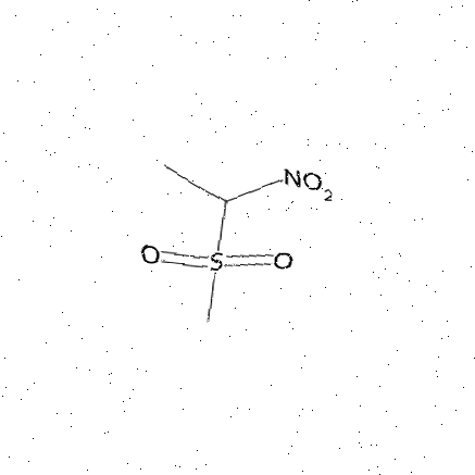 CC([N+](=O)[O-])S(C)(=O)=O